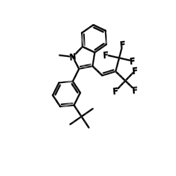 Cn1c(-c2cccc(C(C)(C)C)c2)c(C=C(C(F)(F)F)C(F)(F)F)c2ccccc21